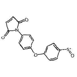 O=[S+]c1ccc(Oc2ccc(N3C(=O)C=CC3=O)cc2)cc1